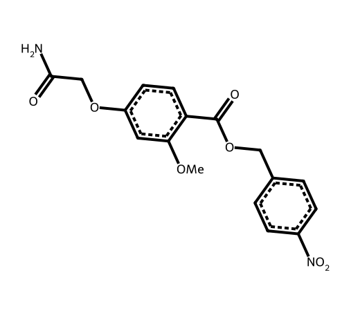 COc1cc(OCC(N)=O)ccc1C(=O)OCc1ccc([N+](=O)[O-])cc1